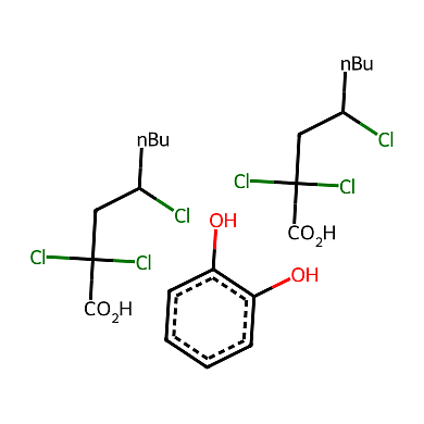 CCCCC(Cl)CC(Cl)(Cl)C(=O)O.CCCCC(Cl)CC(Cl)(Cl)C(=O)O.Oc1ccccc1O